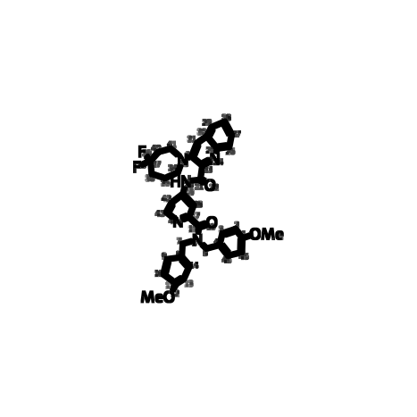 COc1ccc(CN(Cc2ccc(OC)cc2)C(=O)c2cc(NC(=O)c3nc4ccccc4cc3N3CCCC(F)(F)CC3)ccn2)cc1